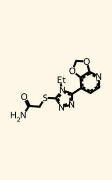 CCn1c(SCC(N)=O)nnc1-c1ccnc2c1OCO2